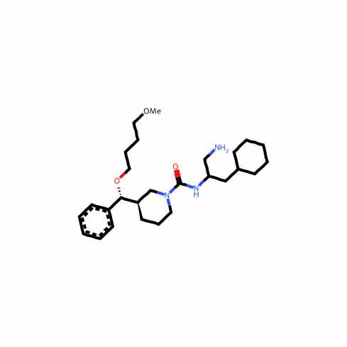 COCCCCO[C@@H](c1ccccc1)[C@@H]1CCCN(C(=O)NC(CN)CC2CCCCC2)C1